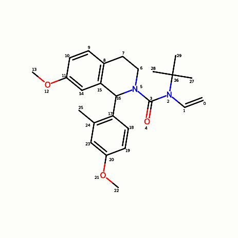 C=CN(C(=O)N1CCc2ccc(OC)cc2C1c1ccc(OC)cc1C)C(C)(C)C